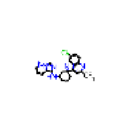 NC1(c2cc(C(F)(F)F)nc3ccc(Cl)cc23)CCCC(Nc2ncn3ncccc23)C1